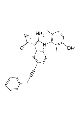 Cc1ccc(O)c(C)c1-n1c(N)c(C(N)=O)c2nc(C#CCc3ccccc3)cnc21